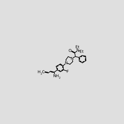 C=C/C=C(\N)c1ccc(N2CCN(C(C(=O)N(CC)CC)c3ccccc3)CC2)c(F)c1